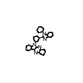 c1ccc(-n2c(-c3cccc(-n4c5ccccc5c5nc6ccccc6nc54)c3)nc3ccccc32)cc1